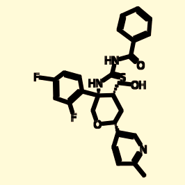 Cc1ccc([C@H]2C[C@@H](CO)[C@](NC(=S)NC(=O)c3ccccc3)(c3ccc(F)cc3F)CO2)cn1